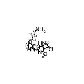 COc1nc(Nc2cnn(CCCCCN)c2)nc2[nH]cc(Cl)c12